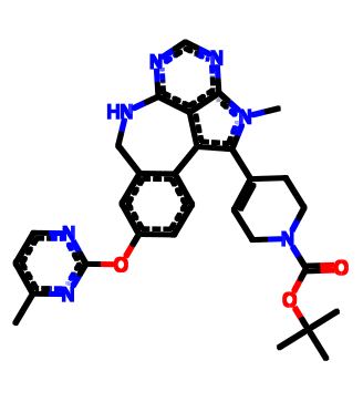 Cc1ccnc(Oc2ccc3c(c2)CNc2ncnc4c2c-3c(C2=CCN(C(=O)OC(C)(C)C)CC2)n4C)n1